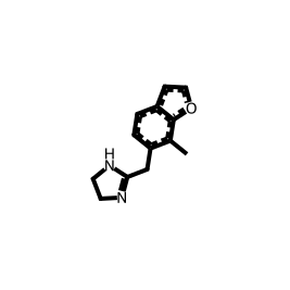 Cc1c(CC2=NCCN2)ccc2ccoc12